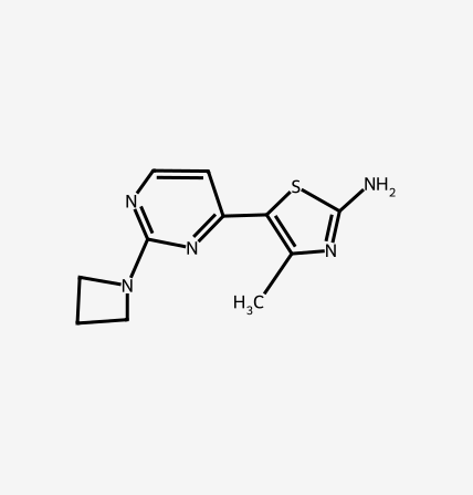 Cc1nc(N)sc1-c1ccnc(N2CCC2)n1